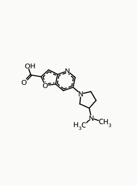 CN(C)C1CCN(c2cnc3cc(C(=O)O)oc3c2)C1